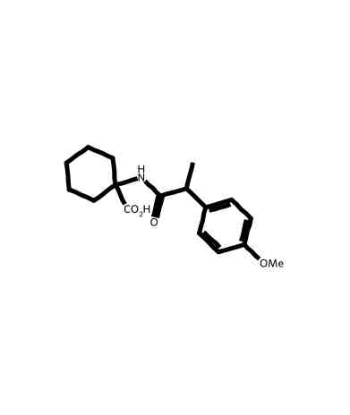 COc1ccc(C(C)C(=O)NC2(C(=O)O)CCCCC2)cc1